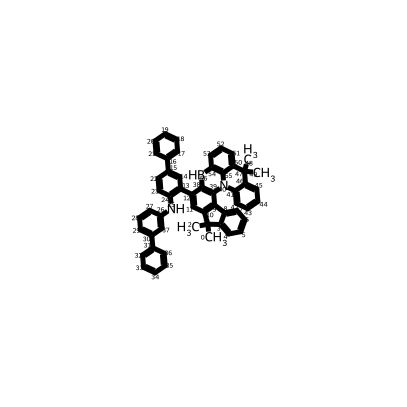 CC1(C)c2ccccc2-c2c1cc(-c1cc(-c3ccccc3)ccc1Nc1cccc(-c3ccccc3)c1)c1c2N2c3ccccc3C(C)(C)c3cccc(c32)B1